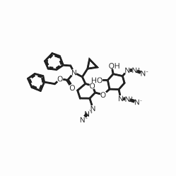 [N-]=[N+]=NC1CCC(C(C2CC2)N(Cc2ccccc2)C(=O)OCc2ccccc2)OC1OC1C(N=[N+]=[N-])CC(N=[N+]=[N-])C(O)C1O